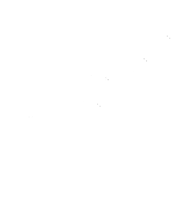 O=c1cc(-c2ccc3c(c2)OCCO3)nc2ccc(N3CCNCC3)cn12